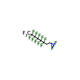 FN(F)CCC(F)(F)C(F)(F)C(F)(F)C(F)(F)C(F)(F)C(F)(F)F